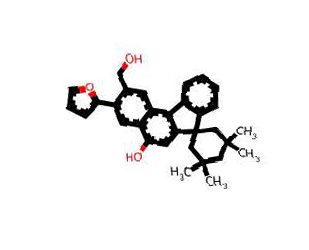 CC1(C)CC(C)(C)CC2(C1)c1ccccc1-c1c2cc(O)c2cc(-c3ccco3)c(CO)cc12